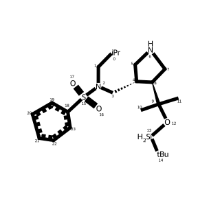 CC(C)CN(C[C@@H]1CNC[C@H]1C(C)(C)O[SiH2]C(C)(C)C)S(=O)(=O)c1ccccc1